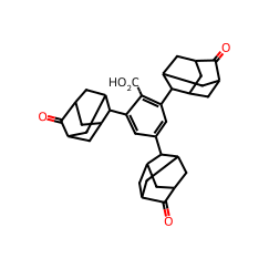 O=C(O)c1c(C2C3CC4CC2CC(C3)C4=O)cc(C2C3CC4CC2CC(C3)C4=O)cc1C1C2CC3CC1CC(C2)C3=O